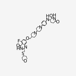 O=C1CCC(Nc2ccc(N3CCC(N4CCC(COc5cc(F)c6c(=O)[nH]c(CSC7CCOCC7)nc6c5)CC4)CC3)cc2)C(=O)N1